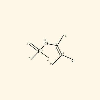 C=P(C)(C)OC(C)=C(C)C